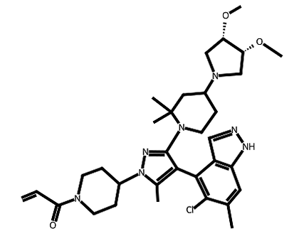 C=CC(=O)N1CCC(n2nc(N3CCC(N4C[C@H](OC)[C@H](OC)C4)CC3(C)C)c(-c3c(Cl)c(C)cc4[nH]ncc34)c2C)CC1